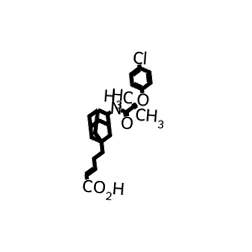 CC(C)(Oc1ccc(Cl)cc1)C(=O)NC1C2CC3CC1CC(CC/C=C/C(=O)O)(C3)C2